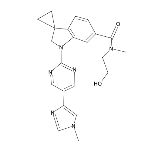 CN(CCO)C(=O)c1ccc2c(c1)N(c1ncc(-c3cn(C)cn3)cn1)CC21CC1